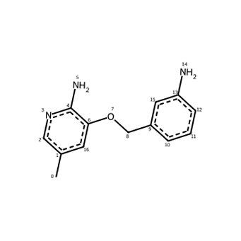 Cc1cnc(N)c(OCc2cccc(N)c2)c1